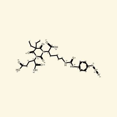 CCC1(CC)C(=O)N(C(CCCCNC(=S)Nc2ccc(N=[N+]=[N-])cc2)C(=O)O)C(=O)N(C(CCC(=O)O)C(=O)O)C1=O